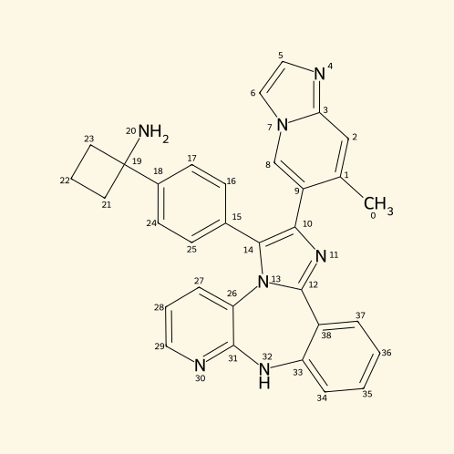 Cc1cc2nccn2cc1-c1nc2n(c1-c1ccc(C3(N)CCC3)cc1)-c1cccnc1Nc1ccccc1-2